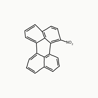 O=[N+]([O-])c1ccc2cccc3c4cccc5cccc(c1c23)c54